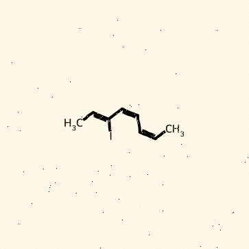 C\C=C/C=C\C(I)=C\C